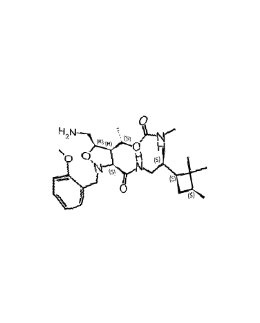 CNC(=O)O[C@@H](C)[C@@H]1[C@H](CN)ON(Cc2ccccc2OC)[C@@H]1C(=O)NC[C@@H](C)[C@@H]1C[C@H](C)C1(C)C